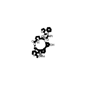 CCn1c(-c2cccnc2[C@H](C)OC)c2c3cc(ccc31)-c1cc(O)cc(c1)C[C@H](NC(=O)[C@H](C(C)C)N(C)C(=O)[C@H]1OCC[C@H]1c1ccccc1)C(=O)C1CCC[C@H](N1)C(=O)OCC(C)(C)C2